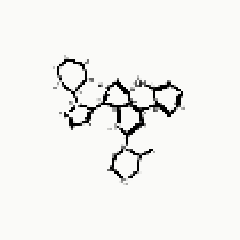 CC1COCCN1c1cc(-c2ccccc2N)c2ccnc(-c3ccnn3C3CCCCO3)c2n1